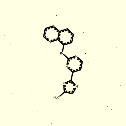 Cc1cnc(-c2ccnc(Nc3cccc4cccnc34)n2)s1